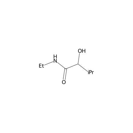 CCNC(=O)C(O)C(C)C